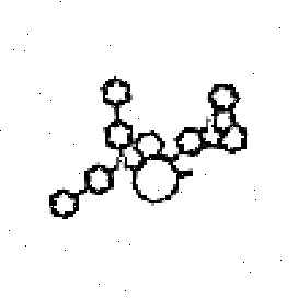 C=C1CCCCC/C(N(c2ccc(-c3ccccc3)cc2)c2ccc(-c3ccccc3)cc2)=C2/CCCC/C2=C/1c1ccc2c(c1)c1cccc3c4ccccc4n2c31